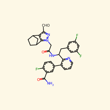 NC(=O)c1cc(-c2cccnc2C(Cc2cc(F)cc(F)c2)NC(=O)Cn2nc(C=O)c3c2C2CCC3C2)ccc1F